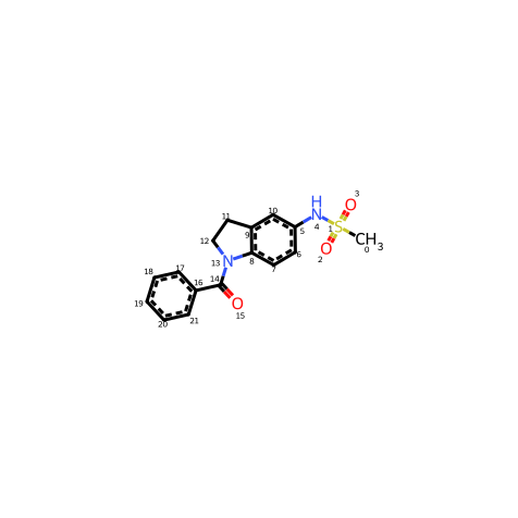 CS(=O)(=O)Nc1ccc2c(c1)CCN2C(=O)c1ccccc1